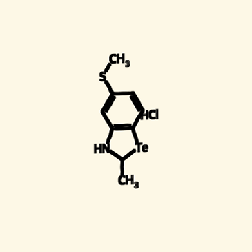 CSc1ccc2c(c1)NC(C)[Te]2.Cl